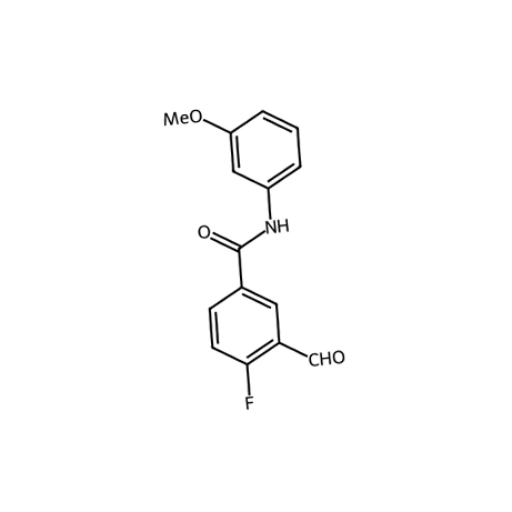 COc1cccc(NC(=O)c2ccc(F)c(C=O)c2)c1